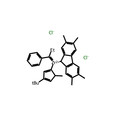 CC/[C](c1ccccc1)=[Zr+2](/[C]1=CC(C(C)(C)C)=CC1C)[CH]1c2cc(C)c(C)cc2-c2cc(C)c(C)cc21.[Cl-].[Cl-]